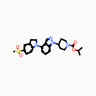 CC(C)OC(=O)N1CCC(n2ncc3c(N4CCc5cc(S(C)(=O)=O)ccc54)cccc32)CC1